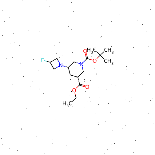 CCOC(=O)C1CC(N2CC(F)C2)CN(C(=O)OC(C)(C)C)C1